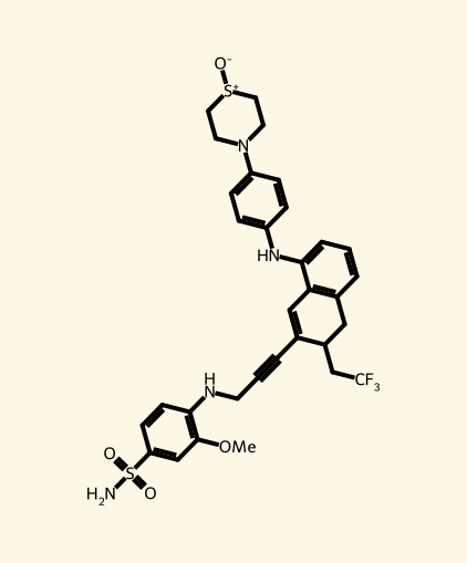 COc1cc(S(N)(=O)=O)ccc1NCC#CC1=Cc2c(cccc2Nc2ccc(N3CC[S+]([O-])CC3)cc2)CC1CC(F)(F)F